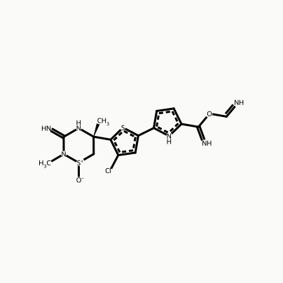 CN1C(=N)N[C@](C)(c2sc(-c3ccc(C(=N)OC=N)[nH]3)cc2Cl)C[S+]1[O-]